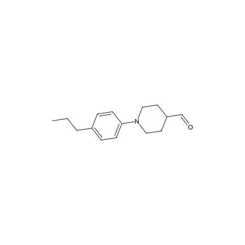 CCCc1ccc(N2CCC(C=O)CC2)cc1